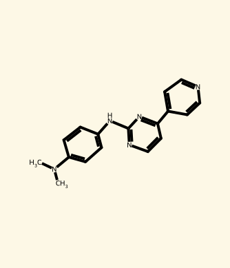 CN(C)c1ccc(Nc2nccc(-c3ccncc3)n2)cc1